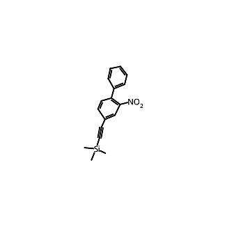 C[Si](C)(C)C#Cc1ccc(-c2ccccc2)c([N+](=O)[O-])c1